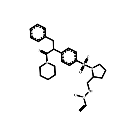 C=C[S+]([O-])NCC1CCCN1S(=O)(=O)c1ccc(C(Cc2ccccc2)C(=O)N2CCCCC2)cc1